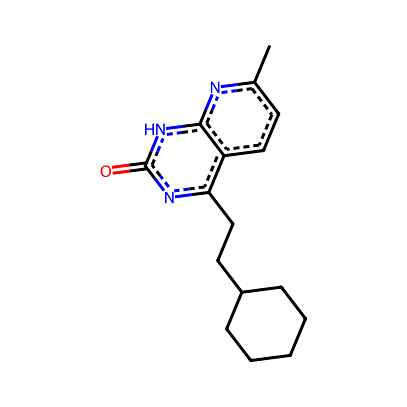 Cc1ccc2c(CCC3CCCCC3)nc(=O)[nH]c2n1